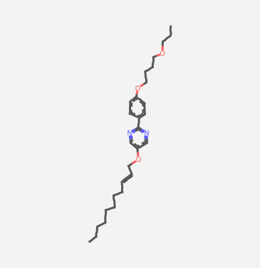 CCCCCCCCC=CCOc1cnc(-c2ccc(OCCCCOCCC)cc2)nc1